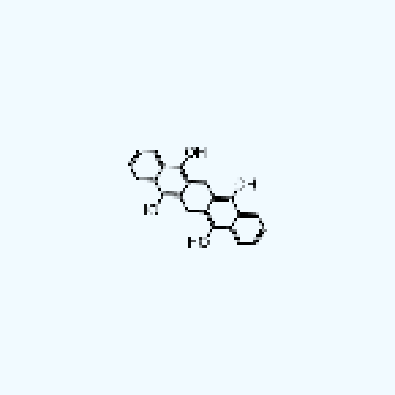 Oc1c2c(c(O)c3ccccc13)Cc1c(c(O)c3ccccc3c1O)C2